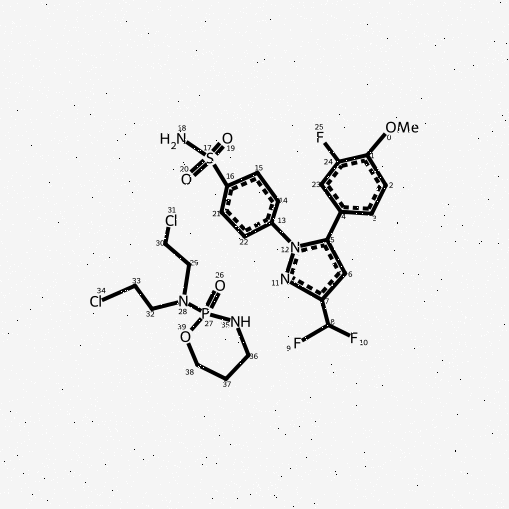 COc1ccc(-c2cc(C(F)F)nn2-c2ccc(S(N)(=O)=O)cc2)cc1F.O=P1(N(CCCl)CCCl)NCCCO1